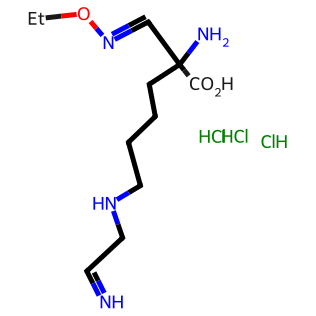 CCON=CC(N)(CCCCNCC=N)C(=O)O.Cl.Cl.Cl